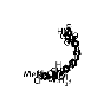 CNc1ccc(O[C@H]2C(C)(C)[C@H](NC(=O)c3ccc(N4CCC(CN5CCN(c6ccc7c(c6)C(=O)N(C6(F)CCC(=O)NC6=O)C7=O)CC5)CC4)cc3)C2(C)C)cc1Cl